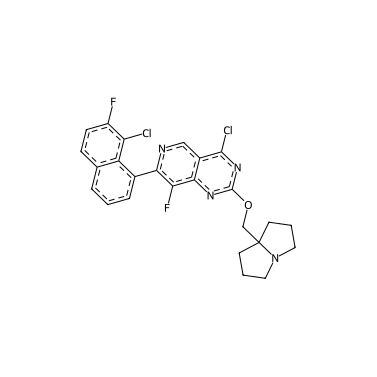 Fc1ccc2cccc(-c3ncc4c(Cl)nc(OCC56CCCN5CCC6)nc4c3F)c2c1Cl